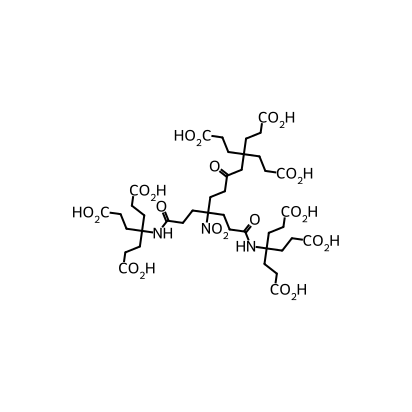 O=C(O)CCC(CCC(=O)O)(CCC(=O)O)CC(=O)CCC(CCC(=O)NC(CCC(=O)O)(CCC(=O)O)CCC(=O)O)(CCC(=O)NC(CCC(=O)O)(CCC(=O)O)CCC(=O)O)[N+](=O)[O-]